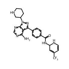 Nc1ncnc2c1c(-c1ccc(C(=O)NC3C=C(C(F)(F)F)C=CN3)cc1)nn2C1CCCNC1